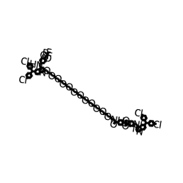 O=C(NCCOCCOCCOCCOCCOCCOCCOCCOCCOCCOCCOCCOc1cc(NC2CCN(S(=O)(=O)C(F)(F)F)CC2)c2cc(C(c3ccc(Cl)cc3)c3ccc(Cl)cc3)ccc2n1)c1ccc(S(=O)(=O)N2CCC(Nc3ncnc4ccc(C(c5ccc(Cl)cc5)c5ccc(Cl)cc5)cc34)CC2)cc1